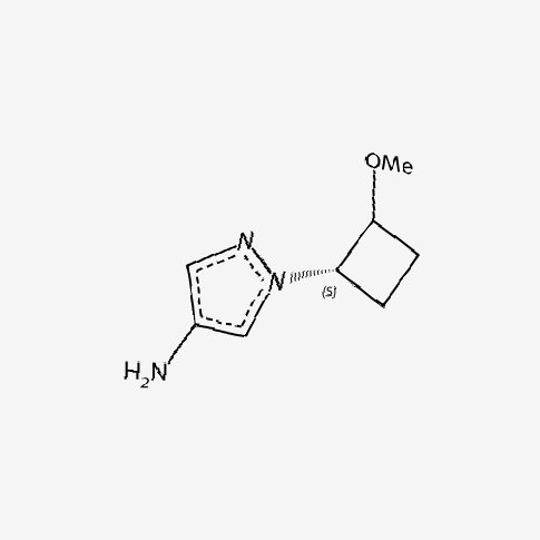 COC1CC[C@@H]1n1cc(N)cn1